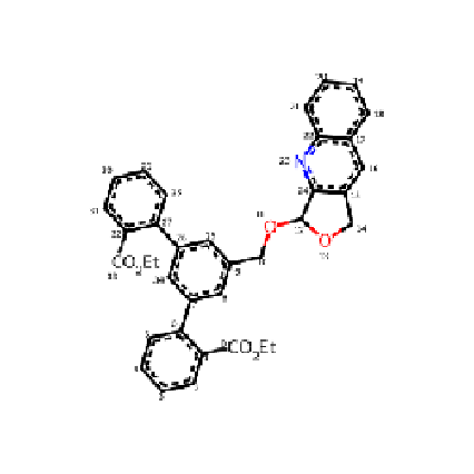 CCOC(=O)c1ccccc1-c1cc(COC2OCc3cc4ccccc4nc32)cc(-c2ccccc2C(=O)OCC)c1